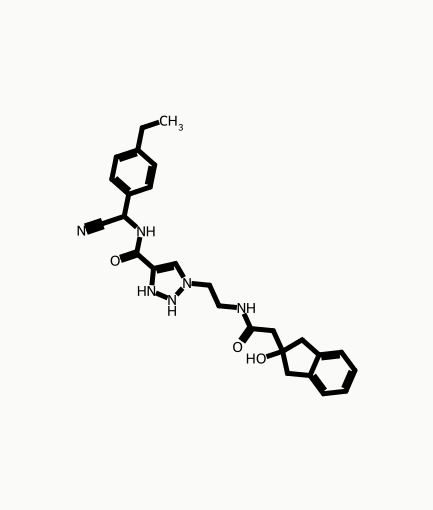 CCc1ccc(C(C#N)NC(=O)C2=CN(CCNC(=O)CC3(O)Cc4ccccc4C3)NN2)cc1